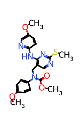 COC(=O)N(Cc1cnc(SC)nc1Nc1ccc(OC)cn1)c1ccc(OC)cc1